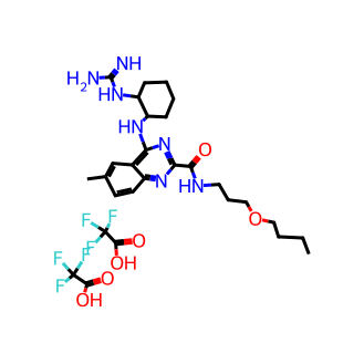 CCCCOCCCNC(=O)c1nc(NC2CCCCC2NC(=N)N)c2cc(C)ccc2n1.O=C(O)C(F)(F)F.O=C(O)C(F)(F)F